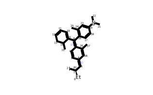 CC[C@@H](I)/C=c1\cc/c(=C(\C2=CC=CCC2C)c2ccc(N(C)C)cc2C)c(C)c1